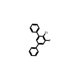 CCc1c(F)cc(-c2ccccc2)cc1-c1ccccc1